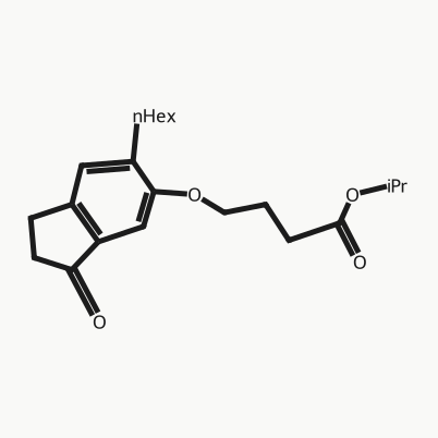 CCCCCCc1cc2c(cc1OCCCC(=O)OC(C)C)C(=O)CC2